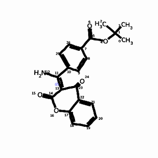 CC(C)(C)OC(=O)c1ccc(/C(N)=C2/C(=O)Oc3ccccc3C2=O)cc1